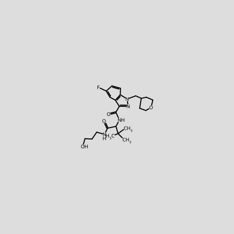 CC(C)(C)C(NC(=O)c1nn(CC2CCOCC2)c2ccc(F)cc12)C(=O)NCCCO